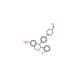 O=CC1CCN(c2ccc([C@@H]3c4ccc(O)cc4CO[C@@H]3c3ccccc3F)cc2)CC1